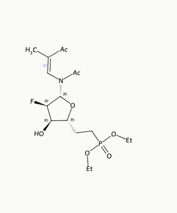 CCOP(=O)(CC[C@H]1O[C@@H](N(/C=C(/C)C(C)=O)C(C)=O)[C@H](F)[C@@H]1O)OCC